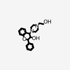 OCCN1CCN(C2c3ccccc3OC(c3ccccc3)C2O)CC1